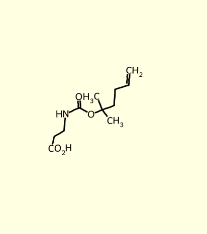 C=CCCC(C)(C)OC(=O)NCCC(=O)O